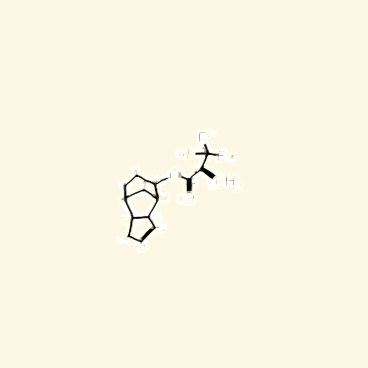 C=C(C(=O)OC1CCC2CC1C1C=CCC21)C(F)(F)F